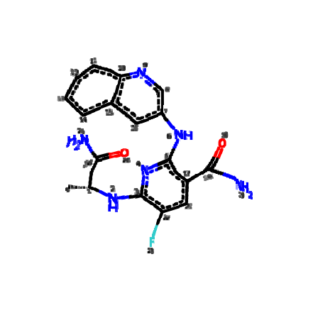 C[C@@H](Nc1nc(Nc2cnc3ccccc3c2)c(C(N)=O)cc1F)C(N)=O